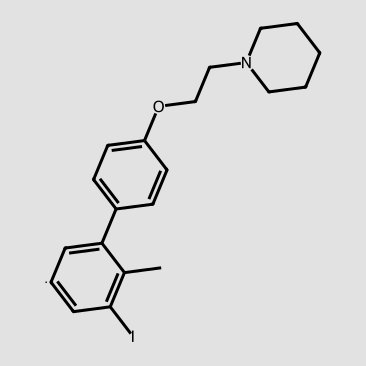 Cc1c(I)c[c]cc1-c1ccc(OCCN2CCCCC2)cc1